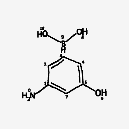 Nc1cccc(O)c1.OBO